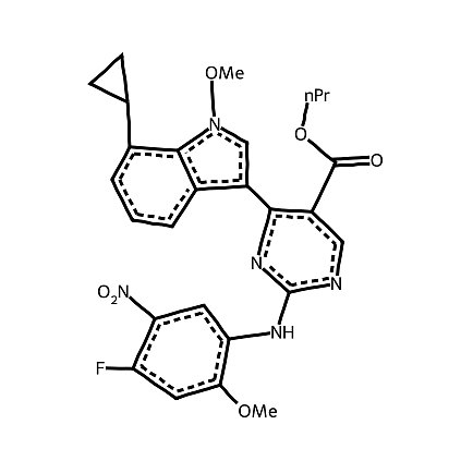 CCCOC(=O)c1cnc(Nc2cc([N+](=O)[O-])c(F)cc2OC)nc1-c1cn(OC)c2c(C3CC3)cccc12